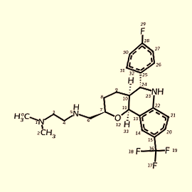 CN(C)CCNC[C@H]1CC[C@@H]2[C@H](O1)c1cc(C(F)(F)F)ccc1N[C@H]2c1ccc(F)cc1